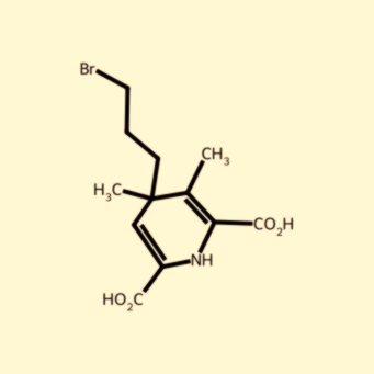 CC1=C(C(=O)O)NC(C(=O)O)=CC1(C)CCCBr